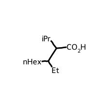 CCCCCCC(CC)C(C(=O)O)C(C)C